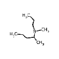 CCCC(C)N(C)CCC